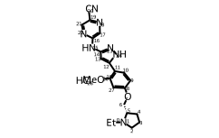 CCN1CCC[C@H]1COc1ccc(-c2cc(Nc3cnc(C#N)cn3)n[nH]2)c(OC)c1.Cl